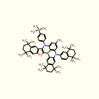 Cc1cc2c3c(c1)N(c1ccc([Si](C)(C)C)cc1)c1c(oc4cc5c(cc14)C(C)(C)CCC5(C)C)B3c1cc3c(cc1N2c1ccc2c(c1)C(C)(C)CCC2(C)C)C(C)(C)CCC3(C)C